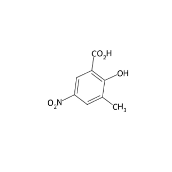 Cc1cc([N+](=O)[O-])cc(C(=O)O)c1O